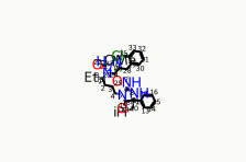 CC[C@@H](CCCN1C(=N)N[C@](CC(C)C)(c2ccccc2)C1=O)N(C(=O)OC)C(=O)[C@@H](N)Cc1ccccc1Cl